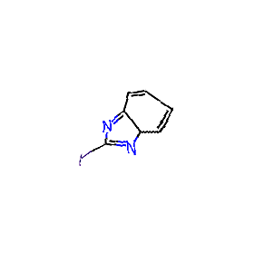 IC1=NC2C=CC=CC2=N1